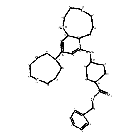 O=C(OCc1ccccc1)C1CCC(NC2=CC(C3CCCCCCCC3)=CC3NCCCCCCC23)CC1